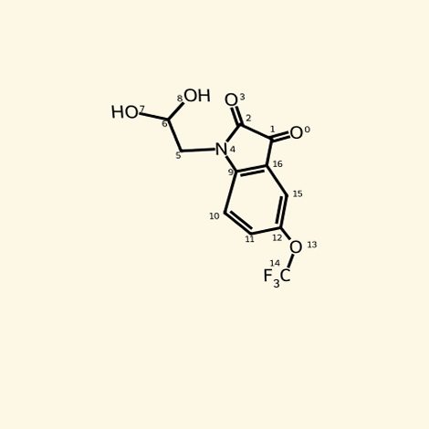 O=C1C(=O)N(CC(O)O)c2ccc(OC(F)(F)F)cc21